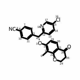 Cc1c(O[C@H](c2ccc(C#N)cc2)c2ccc(Cl)cn2)ccc2c1OCCC2=O